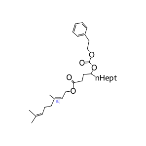 CCCCCCCC(CCC(=O)OC/C=C(\C)CCC=C(C)C)OC(=O)OCCc1ccccc1